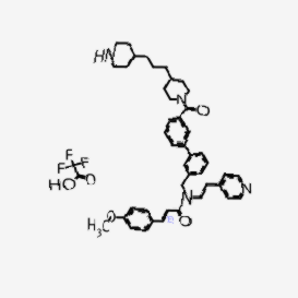 COc1ccc(/C=C/C(=O)N(CCc2ccncc2)Cc2cccc(-c3cccc(C(=O)N4CCC(CCCC5CCNCC5)CC4)c3)c2)cc1.O=C(O)C(F)(F)F